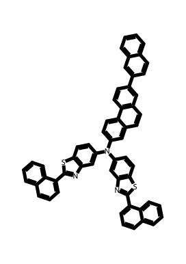 c1ccc2cc(-c3ccc4c(ccc5cc(N(c6ccc7sc(-c8cccc9ccccc89)nc7c6)c6ccc7sc(-c8cccc9ccccc89)nc7c6)ccc54)c3)ccc2c1